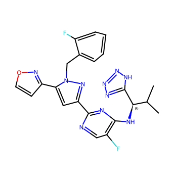 CC(C)[C@@H](Nc1nc(-c2cc(-c3ccon3)n(Cc3ccccc3F)n2)ncc1F)c1nnn[nH]1